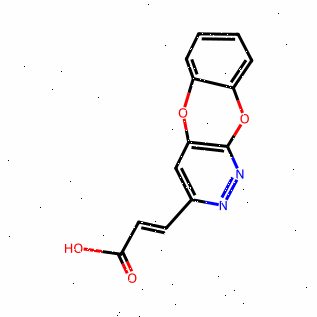 O=C(O)C=Cc1cc2c(nn1)Oc1ccccc1O2